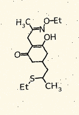 CCON=C(C)CC1=C(O)CC(CC(C)SCC)CC1=O